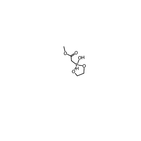 COC(=O)C[PH]1(O)OCCO1